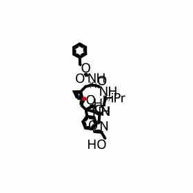 CC(C)[C@@H]1NC(=O)[C@@H](NC(=O)OCc2ccccc2)Cc2ccc3c(c2)C2(c4ccccc4N[C@H]2O3)c2oc1nc2-c1nc(CO)co1